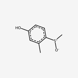 Cc1cc(O)ccc1[S+](C)[O-]